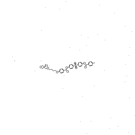 CCC1(COCCCCOc2ccc(C(=O)Oc3ccc(S(=O)(=O)c4ccc(OC(=O)c5ccc(C)cc5)cc4)cc3)cc2)COC1